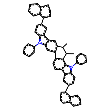 CC1c2cc3c4cc(-c5cccc6ccccc56)ccc4n(-c4ccccc4)c3cc2-c2ccc3c4cc(-c5cccc6ccccc56)ccc4n(-c4ccccc4)c3c2C1C